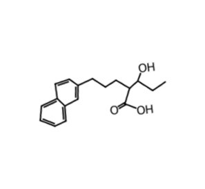 CCC(O)C(CCCc1ccc2ccccc2c1)C(=O)O